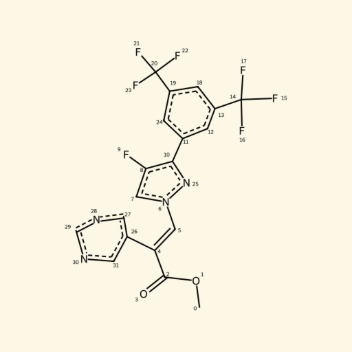 COC(=O)/C(=C/n1cc(F)c(-c2cc(C(F)(F)F)cc(C(F)(F)F)c2)n1)c1cncnc1